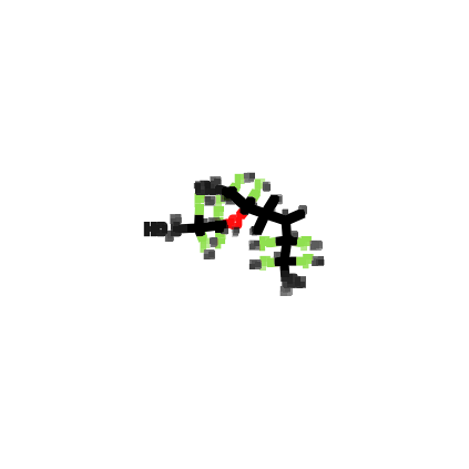 CC(C(C)(C)C(F)(OC(F)(F)C(F)(F)S(=O)(=O)O)C(F)(F)C(C)(C)C)C(F)(F)C(F)(F)C(C)(C)C